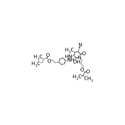 C=C(C)C(=O)OCCCn1c(O)c(NNc2ccc(CCOC(=O)C(C)CC)cc2)c(C)c(C#N)c1=O